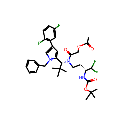 CC(=O)OCC(=O)N(CC[C@@H](NC(=O)OC(C)(C)C)C(F)F)[C@@H](c1cc(-c2cc(F)ccc2F)cn1Cc1ccccc1)C(C)(C)C